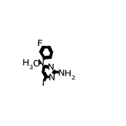 CN(c1cccc(F)c1)c1cc(I)nc(N)n1